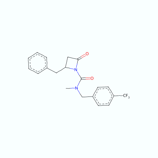 CN(Cc1ccc(C(F)(F)F)cc1)C(=O)N1C(=O)CC1Cc1ccccc1